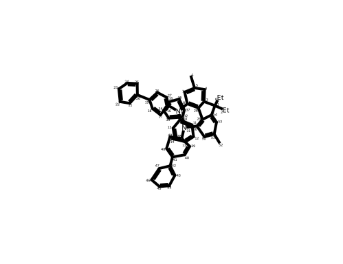 CCC1(CC)c2cc(C)cc(N(c3ccccc3)c3ccc(-c4ccccc4)cc3)c2-c2c(N(c3ccccc3)c3ccc(-c4ccccc4)cc3)cc(C)cc21